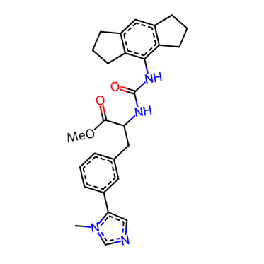 COC(=O)C(Cc1cccc(-c2cncn2C)c1)NC(=O)Nc1c2c(cc3c1CCC3)CCC2